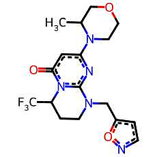 CC1COCCN1c1cc(=O)n2c(n1)N(Cc1ccno1)CCC2C(F)(F)F